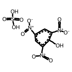 O=S(=O)(O)O.O=[N+]([O-])c1cc([N+](=O)[O-])c(O)c([N+](=O)[O-])c1